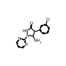 NC1C(c2cccc(Cl)c2)C(=O)NN1c1ncccn1